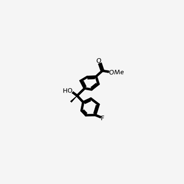 COC(=O)c1ccc([C@@](C)(O)c2ccc(F)cc2)cc1